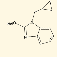 COc1nc2ccccc2n1CC1CC1